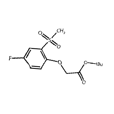 CC(C)(C)OC(=O)COc1ccc(F)cc1S(C)(=O)=O